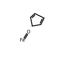 [CH]1C=CC=C1.[O]=[Fe]